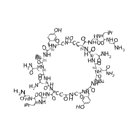 CC[C@H](C)[C@@H]1NC(=O)[C@H](Cc2ccc(O)cc2)NC(=O)CNC(=O)CC[C@@H](C(=O)NCC(=O)N[C@@H](CC(C)C)C(=O)NCC(N)=O)NC(=O)[C@H](CC(N)=O)NC(=O)[C@H](CCC(N)=O)NC(=O)[C@H]([C@@H](C)CC)NC(=O)[C@H](Cc2ccc(O)cc2)NC(=O)CNC(=O)CC[C@@H](C(=O)NCC(=O)N[C@@H](CC(C)C)C(=O)NCC(N)=O)NC(=O)[C@H](CC(N)=O)NC(=O)[C@H](CCC(N)=O)NC1=O